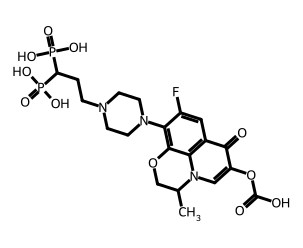 CC1COc2c(N3CCN(CCC(P(=O)(O)O)P(=O)(O)O)CC3)c(F)cc3c(=O)c(OC(=O)O)cn1c23